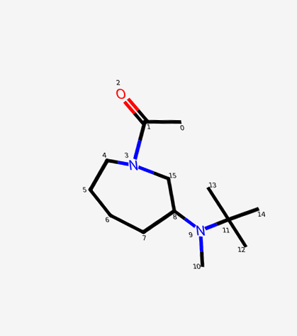 CC(=O)N1CCCCC(N(C)C(C)(C)C)C1